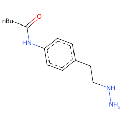 CCCCC(=O)Nc1ccc(CCNN)cc1